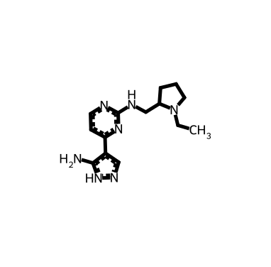 CCN1CCCC1CNc1nccc(-c2cn[nH]c2N)n1